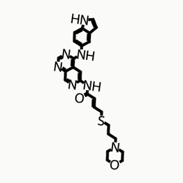 O=C(C=CCSCCCN1CCOCC1)Nc1cc2c(Nc3ccc4[nH]ccc4c3)ncnc2cn1